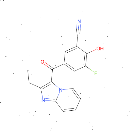 CCc1nc2ccccn2c1C(=O)c1cc(F)c(O)c(C#N)c1